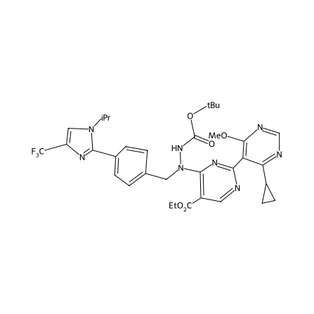 CCOC(=O)c1cnc(-c2c(OC)ncnc2C2CC2)nc1N(Cc1ccc(-c2nc(C(F)(F)F)cn2C(C)C)cc1)NC(=O)OC(C)(C)C